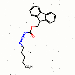 O=C(O)CCCCN=[N+]=NC(=O)OCC1c2ccccc2-c2ccccc21